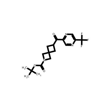 CC(C)(C)OC(=O)N1CC2(CC(C(=O)c3cnc(C(F)(F)F)cn3)C2)C1